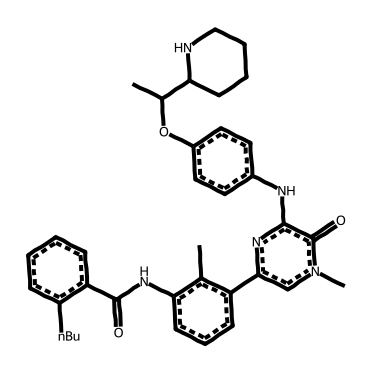 CCCCc1ccccc1C(=O)Nc1cccc(-c2cn(C)c(=O)c(Nc3ccc(OC(C)C4CCCCN4)cc3)n2)c1C